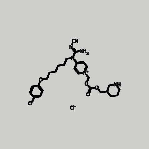 N#CN=C(N)N(CCCCCCOc1ccc(Cl)cc1)c1cc[n+](COC(=O)OCC2CCCNC2)cc1.[Cl-]